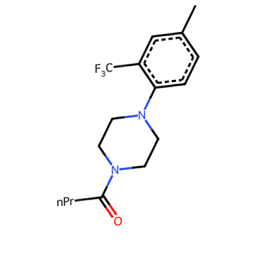 CCCC(=O)N1CCN(c2ccc(C)cc2C(F)(F)F)CC1